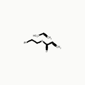 C=CC(=O)O.C=CC(=O)OCCC(C)C